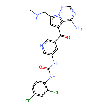 CN(C)Cc1cc(C(=O)c2cncc(NC(=O)Nc3ccc(Cl)cc3Cl)c2)c2c(N)ncnn12